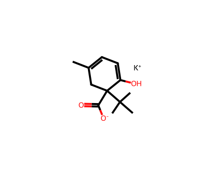 CC1=CC=C(O)C(C(=O)[O-])(C(C)(C)C)C1.[K+]